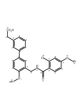 CCCOc1ccc(-c2cccc(CC(=O)O)c2)cc1CNC(=O)c1ccc(OC(C)C)cc1Cl